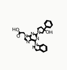 O=C(O)Cn1cnc2c(-n3ncc4ccccc43)nc(N3CCC(O)(c4ccccc4)C3)nc21